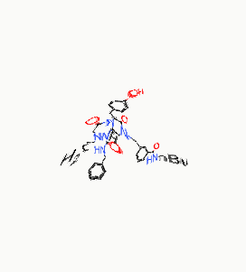 C=CCN1CC(=O)N2[C@@H](Cc3ccc(O)cc3)C(=O)N(Cc3cccc(C(=O)NCCCC)c3)C[C@@H]2N1C(=O)NCc1ccccc1